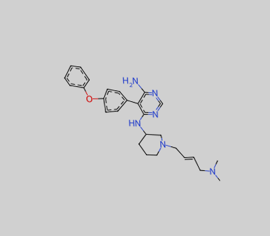 CN(C)C/C=C/CN1CCCC(Nc2ncnc(N)c2-c2ccc(Oc3ccccc3)cc2)C1